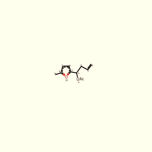 C=CCC(OC(C)=O)c1ccc(C)o1